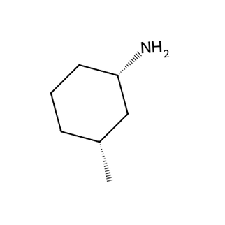 C[C@@H]1CCC[C@H](N)C1